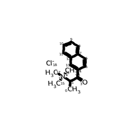 CC(C(=O)c1ccc2ccccc2c1)[N+](C)(C)C.[Cl-]